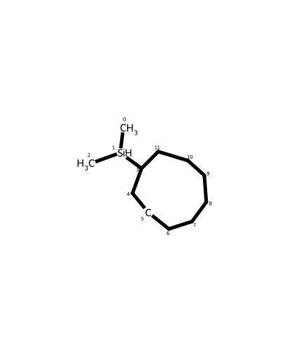 C[SiH](C)C1CCCCCCCC1